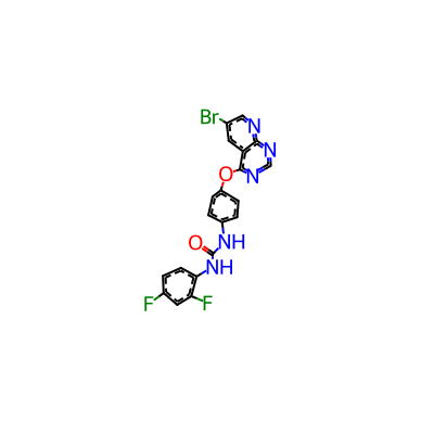 O=C(Nc1ccc(Oc2ncnc3ncc(Br)cc23)cc1)Nc1ccc(F)cc1F